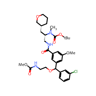 COC(=O)NCCOC(c1cccc(Cl)c1)c1cc(OC)cc(C(=O)NC[C@H](C[C@H]2CCCOC2)N(C)C(=O)OC(C)(C)C)c1